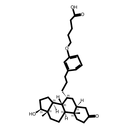 C[C@]12CCC(=O)C[C@@H]1C[C@@H](CCCc1cccc(OCCCCC(=O)O)c1)[C@@H]1[C@@H]2CC[C@]2(C)[C@@H](O)CC[C@@H]12